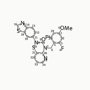 COc1cc(F)c(CN2C(=O)N(c3ccc4ncsc4c3)Sc3cccnc32)c(F)c1